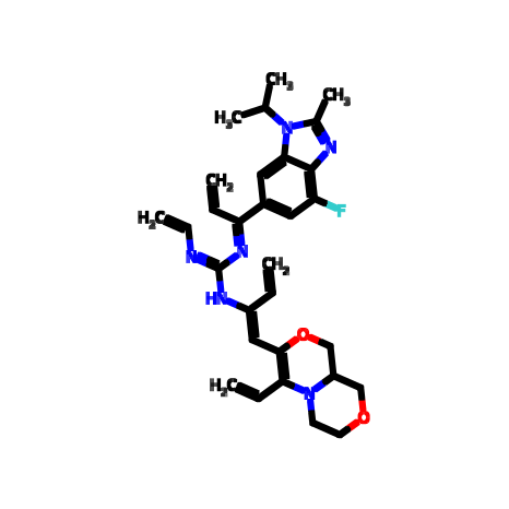 C=C/N=C(\N=C(/C=C)c1cc(F)c2nc(C)n(C(C)C)c2c1)N/C(C=C)=C/C1=C(C=C)N2CCOCC2CO1